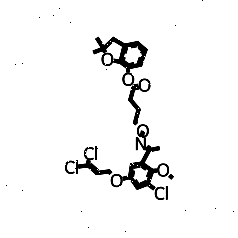 COc1c(Cl)cc(OCC=C(Cl)Cl)cc1/C(C)=N/OCCCC(=O)Oc1cccc2c1OC(C)(C)C2